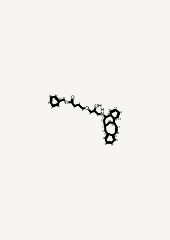 O=C(CCCOCC(O)CNC1CC2Cc3ccccc3/C=C\C(C2)C2C=CC=CC12)OCc1ccccc1